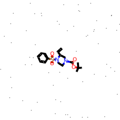 C=CC1CN(C(=O)OC(C)(C)C)CCN1S(=O)(=O)c1ccccc1